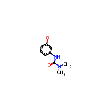 CN(C)C(=O)Nc1cccc([O])c1